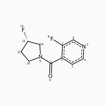 O=C(c1ccncc1F)N1CC[C@H](F)C1